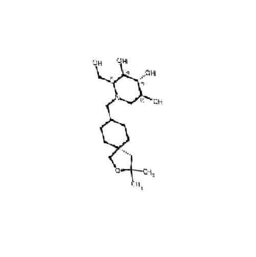 CC1(C)C[C@]2(CC[C@H](CN3C[C@H](O)[C@@H](O)[C@H](O)[C@@H]3CO)CC2)CO1